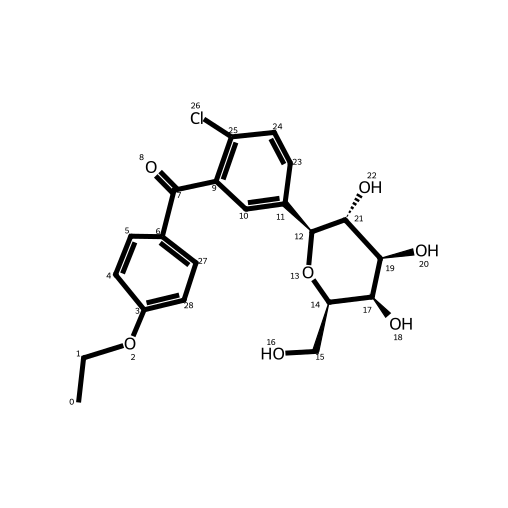 CCOc1ccc(C(=O)c2cc([C@@H]3O[C@H](CO)[C@H](O)[C@H](O)[C@H]3O)ccc2Cl)cc1